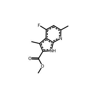 COC(=O)c1[nH]c2nc(C)cc(F)c2c1C